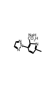 Cc1ccc(-n2nccn2)c(C(=O)O)n1.[NaH]